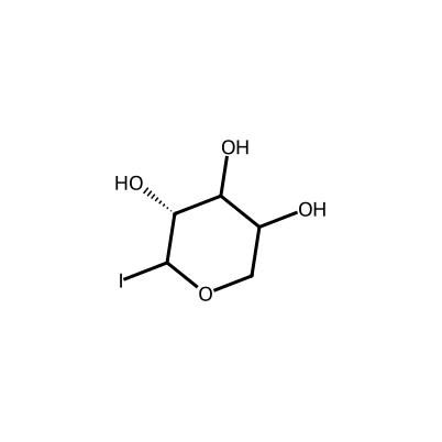 OC1COC(I)[C@H](O)C1O